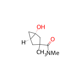 CNC(=O)C1(C)C[C@H]2C[C@@]2(O)C1